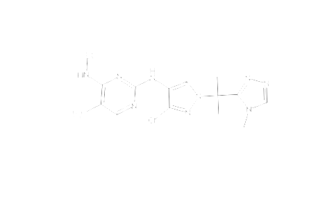 CCNc1nc(Nc2cn(C(C)(C)c3nncn3C)nc2Cl)ncc1C(F)(F)F